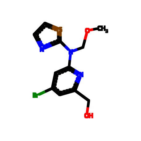 COCN(c1cc(Br)cc(CO)n1)c1nccs1